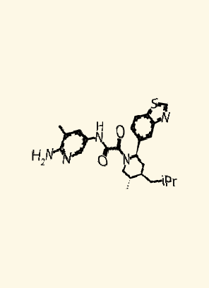 Cc1cc(NC(=O)C(=O)N2C[C@@H](C)C(CC(C)C)C[C@@H]2c2ccc3scnc3c2)cnc1N